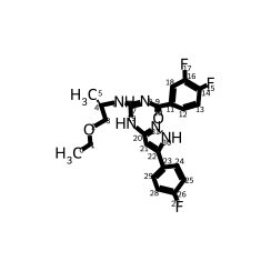 CCOC[C@H](C)N/C(=N/C(=O)c1ccc(F)c(F)c1)Nc1cc(-c2ccc(F)cc2)[nH]n1